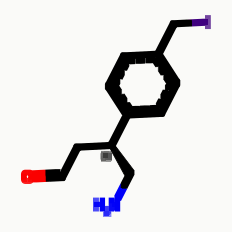 NC[C@@H](CC=O)c1ccc(CI)cc1